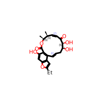 CCc1cc2c3c(c(O)cc2o1)C(=O)O[C@@H](C)[C@@H](C)/C=C\C(=O)[C@@H](O)[C@@H](O)C/C=C/3